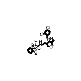 COc1ccccc1S(=O)(=O)NC(=O)NCC=C1COCc2cnn(Cc3ccc(Cl)cc3Cl)c21